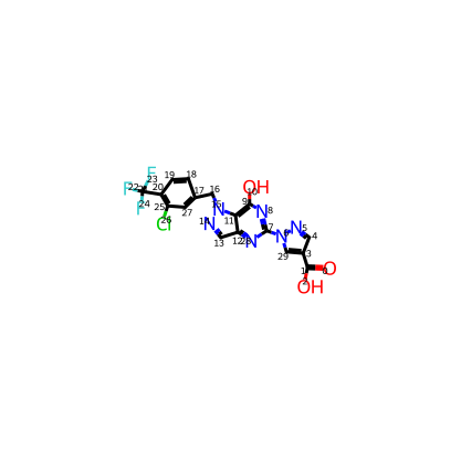 O=C(O)c1cnn(-c2nc(O)c3c(cnn3Cc3ccc(C(F)(F)F)c(Cl)c3)n2)c1